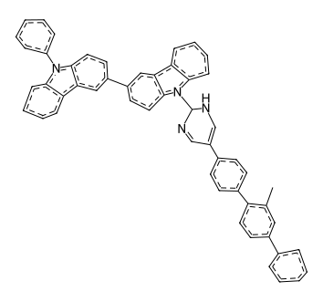 Cc1cc(-c2ccccc2)ccc1-c1ccc(C2=CNC(n3c4ccccc4c4cc(-c5ccc6c(c5)c5ccccc5n6-c5ccccc5)ccc43)N=C2)cc1